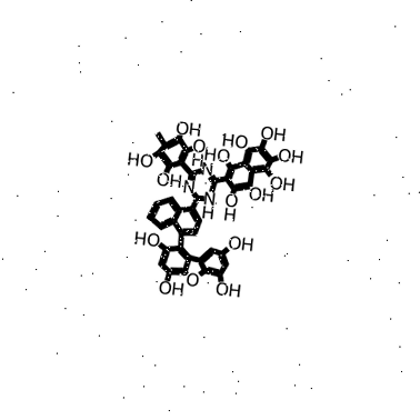 Cc1c(O)c(O)c(C2=NC(c3ccc(-c4c(O)cc(O)c5oc6c(O)cc(O)cc6c45)c4ccccc34)NC(c3c(O)c(O)c4c(O)c(O)c(O)c(O)c4c3O)=N2)c(O)c1O